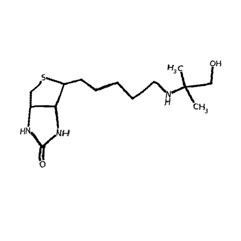 CC(C)(CO)NCCCCCC1SCC2NC(=O)NC21